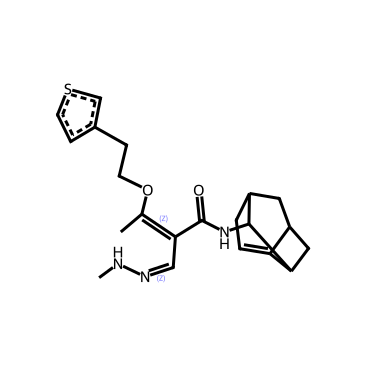 CN/N=C\C(C(=O)NC1C2CC=C3C(C2)CC31)=C(/C)OCCc1ccsc1